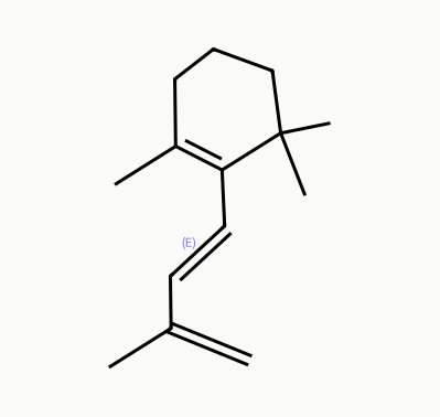 C=C(C)/C=C/C1=C(C)CCCC1(C)C